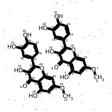 COc1cc(O)c2c(=O)c(O)c(-c3ccc(O)c(O)c3)oc2c1.COc1cc(O)c2c(=O)c(O)c(-c3ccc(O)c(O)c3)oc2c1